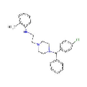 O=C(O)c1ccccc1NCCN1CCN(C(c2ccccc2)c2ccc(Cl)cc2)CC1